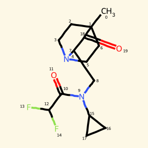 CC12CCN(CC1)C(CN(C(=O)C(F)F)C1CC1)C2=O